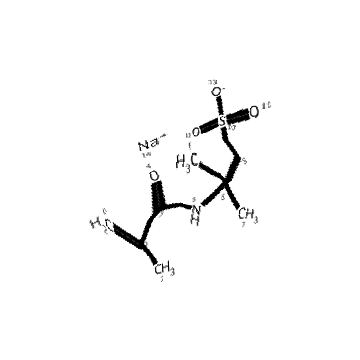 C=C(C)C(=O)NC(C)(C)CS(=O)(=O)[O-].[Na+]